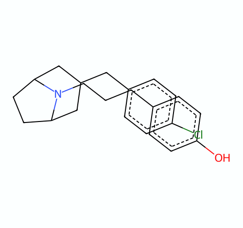 Oc1ccc(CCCN2C3CCC2CC(Cc2ccc(Cl)cc2)C3)cc1